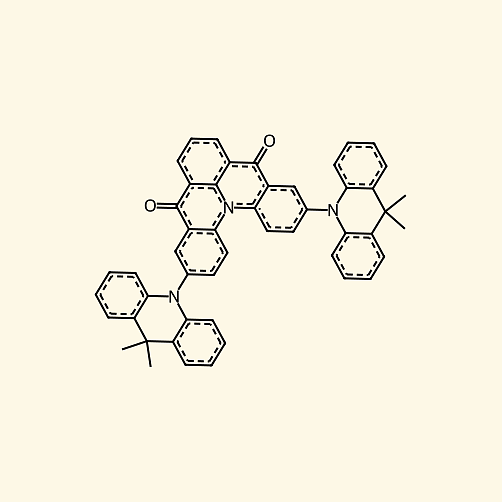 CC1(C)c2ccccc2N(c2ccc3c(c2)c(=O)c2cccc4c(=O)c5cc(N6c7ccccc7C(C)(C)c7ccccc76)ccc5n3c24)c2ccccc21